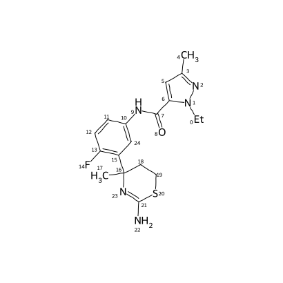 CCn1nc(C)cc1C(=O)Nc1ccc(F)c(C2(C)CCSC(N)=N2)c1